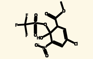 COC(=O)C1C=C(Cl)C=C([N+](=O)[O-])C1(O)OS(=O)(=O)C(F)(F)F